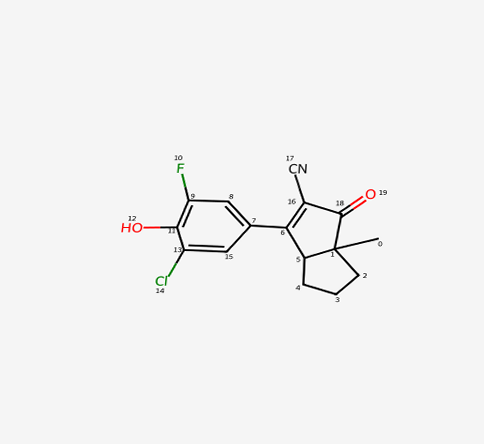 CC12CCCC1C(c1cc(F)c(O)c(Cl)c1)=C(C#N)C2=O